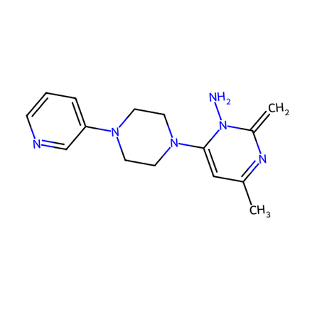 C=C1N=C(C)C=C(N2CCN(c3cccnc3)CC2)N1N